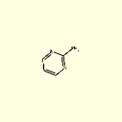 Pc1ncccn1